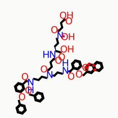 O=C(O)CCC(=O)N(O)CCC[C@H](NC(=O)CCC(=O)N(CCCCNC(=O)c1cccc(OCc2ccccc2)c1OCc1ccccc1)CCCNC(=O)c1cccc(OCc2ccccc2)c1OCc1ccccc1)C(=O)O